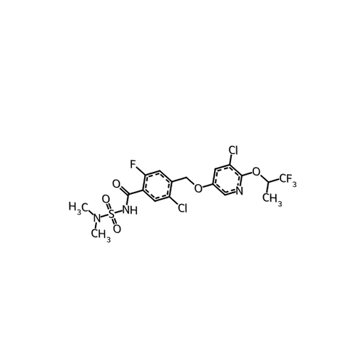 CC(Oc1ncc(OCc2cc(F)c(C(=O)NS(=O)(=O)N(C)C)cc2Cl)cc1Cl)C(F)(F)F